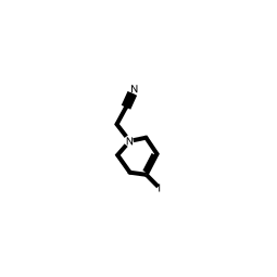 N#CCN1CC=C(I)CC1